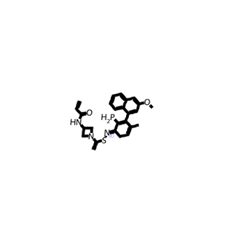 C=CC(=O)NC1CN(C(=C)S/N=C2\CC=C(C)C(c3cc(OC)cc4ccccc34)=C2P)C1